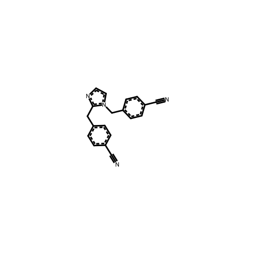 N#Cc1ccc(Cc2nccn2Cc2ccc(C#N)cc2)cc1